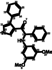 COc1cc(NC(C(=O)c2c[nH]cc2-c2ccccc2)c2ccccc2)cc(OC)c1